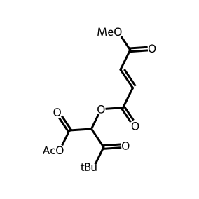 COC(=O)C=CC(=O)OC(C(=O)OC(C)=O)C(=O)C(C)(C)C